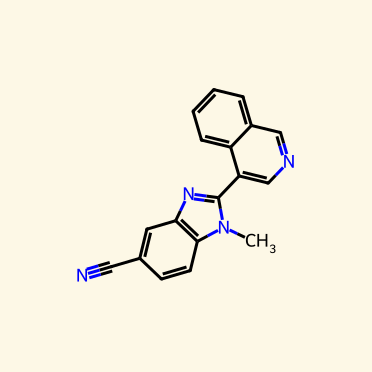 Cn1c(-c2cncc3ccccc23)nc2cc(C#N)ccc21